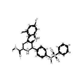 COC(=O)C1Cc2c([nH]c3cc(F)cc(C)c23)C(c2ccc(N(C)S(=O)(=O)c3ccccc3)cc2)N1